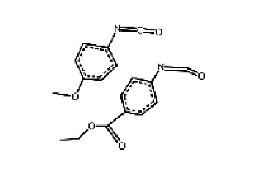 CCOC(=O)c1ccc(N=C=O)cc1.COc1ccc(N=C=O)cc1